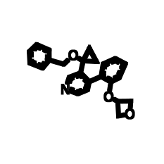 c1ccc(COC2(c3cnccc3-c3ccccc3OC3COC3)CC2)cc1